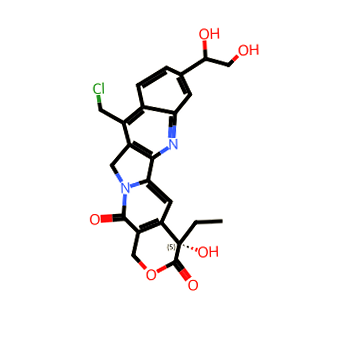 CC[C@@]1(O)C(=O)OCc2c1cc1n(c2=O)Cc2c-1nc1cc(C(O)CO)ccc1c2CCl